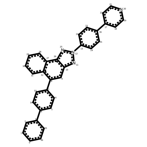 c1ccc(-c2ccc(-c3cc4nn(-c5ccc(-c6ccncc6)cc5)nc4c4ccccc34)cc2)cc1